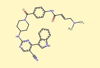 CN(C)CC=CC(=O)Nc1ccc(C(=O)N2CCC(Nc3ncc(C#N)c(-c4c[nH]c5ccccc45)n3)CC2)cc1